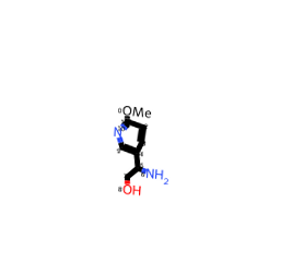 COc1ccc(C(N)CO)cn1